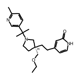 CCOC[C@]1(CCc2cc[nH]c(=O)c2)CCN(C(C)(C)c2ccc(C)nc2)C1